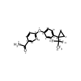 NC(=O)c1ccc(Oc2ccc(C3(C(F)(F)C(F)(F)F)CC3)cc2)nc1